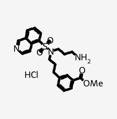 COC(=O)c1cccc(CCCN(CCCN)S(=O)(=O)c2cccc3cnccc23)c1.Cl